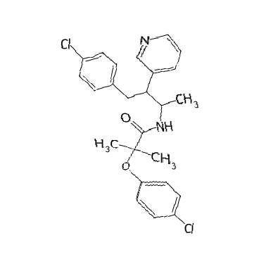 CC(NC(=O)C(C)(C)Oc1ccc(Cl)cc1)C(Cc1ccc(Cl)cc1)c1cccnc1